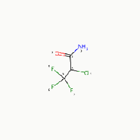 NC(=O)C(Cl)C(F)(F)F